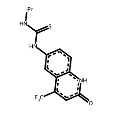 CC(C)NC(=S)Nc1ccc2[nH]c(=O)cc(C(F)(F)F)c2c1